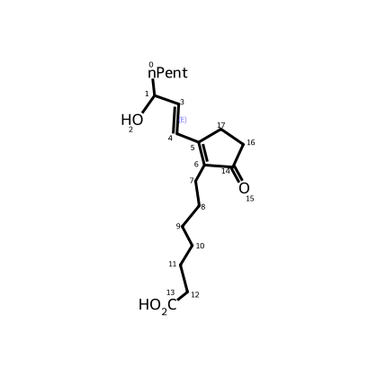 CCCCCC(O)/C=C/C1=C(CCCCCCC(=O)O)C(=O)CC1